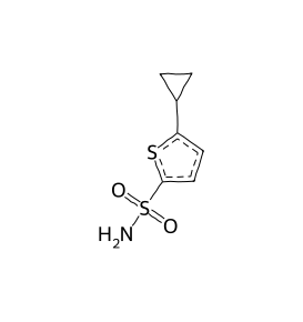 NS(=O)(=O)c1ccc(C2CC2)s1